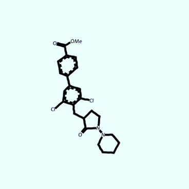 COC(=O)c1ccc(-c2cc(Cl)c(CC3CCN(N4CCCCC4)C3=O)c(Cl)c2)cc1